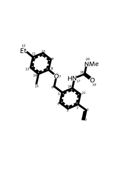 C=Cc1ccc(COc2ccc(CC)cc2C)c(NC(=O)NC)c1